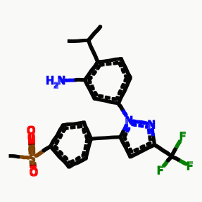 CC(C)c1ccc(-n2nc(C(F)(F)F)cc2-c2ccc(S(C)(=O)=O)cc2)cc1N